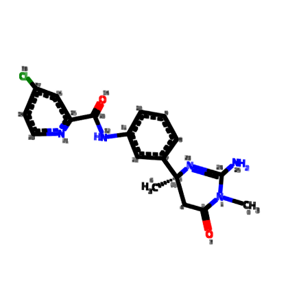 CN1C(=O)C[C@@](C)(c2cccc(NC(=O)c3cc(Cl)ccn3)c2)N=C1N